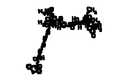 CCCC1O[C@@H]2CC3[C@@H]4CCC5=CC(=O)C=C[C@]5(C)C4[C@@H](O)C[C@]3(C)[C@]2(C(=O)COCNC(=O)CNC(=O)OCc2ccc(NC(=O)[C@H](CCCNC(N)=O)NC(=O)[C@@H](NC(=O)CCOCCOCCOCCOCCNC(=O)CCC(=O)N3Cc4ccccc4C4=C(C4)c4ccccc43)C(C)C)cc2)O1